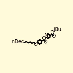 CCCCCCCCCCCCCCCCOc1ccc(C(=O)Oc2ccc(C(=O)OCC(C)CC)cn2)cc1